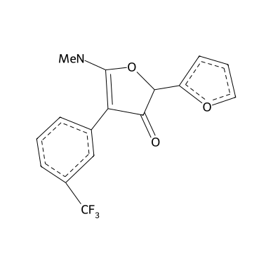 CNC1=C(c2cccc(C(F)(F)F)c2)C(=O)C(c2ccco2)O1